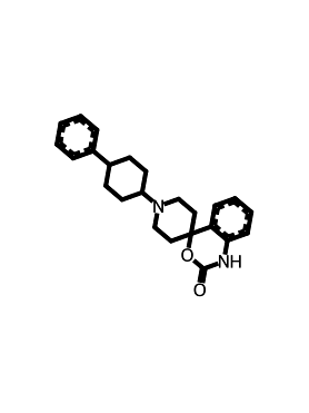 O=C1Nc2ccccc2C2(CCN(C3CCC(c4ccccc4)CC3)CC2)O1